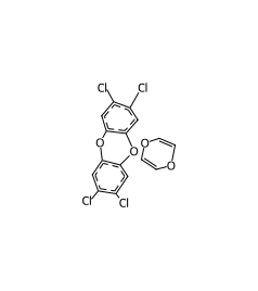 C1=COC=CO1.Clc1cc2c(cc1Cl)Oc1cc(Cl)c(Cl)cc1O2